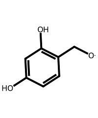 [O]Cc1ccc(O)cc1O